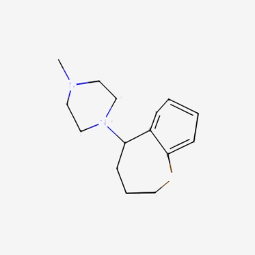 CN1CCN(C2CCCSc3ccccc32)CC1